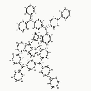 c1ccc(-c2ccc(N(c3ccc(N(c4ccccc4)c4ccccc4)cc3)c3ccc4c(c3)C3(c5cc(N(c6ccc(-c7ccccc7)cc6)c6ccc(N(c7ccccc7)c7ccccc7)cc6)ccc5-4)c4ccccc4-n4c5ccccc5c5cccc3c54)cc2)cc1